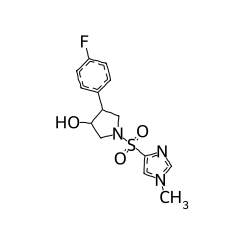 Cn1cnc(S(=O)(=O)N2CC(O)C(c3ccc(F)cc3)C2)c1